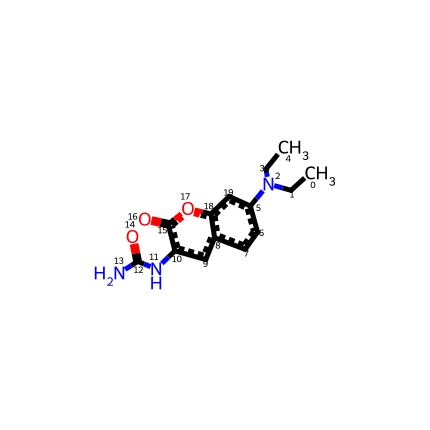 CCN(CC)c1ccc2cc(NC(N)=O)c(=O)oc2c1